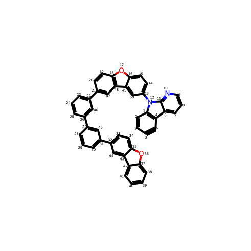 c1ccc2c(c#1)c1cccnc1n2-c1ccc2oc3ccc(-c4cccc(-c5cccc(-c6ccc7oc8ccccc8c7c6)c5)c4)cc3c2c1